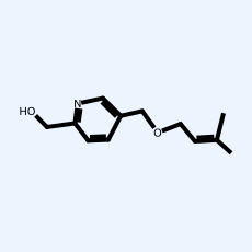 CC(C)=CCOCc1ccc(CO)nc1